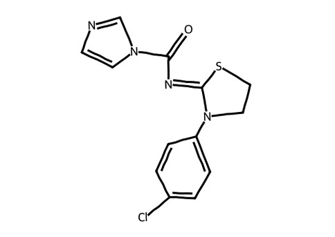 O=C(N=C1SCCN1c1ccc(Cl)cc1)n1ccnc1